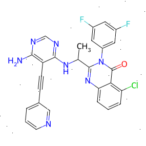 CC(Nc1ncnc(N)c1C#Cc1cccnc1)c1nc2cccc(Cl)c2c(=O)n1-c1cc(F)cc(F)c1